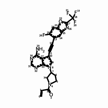 C=CC(=O)N1CCC(n2cc(C#Cc3cc4nc(C(F)(F)F)oc4cc3F)c3c(N)ncnc32)C1